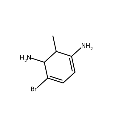 CC1C(N)=CC=C(Br)C1N